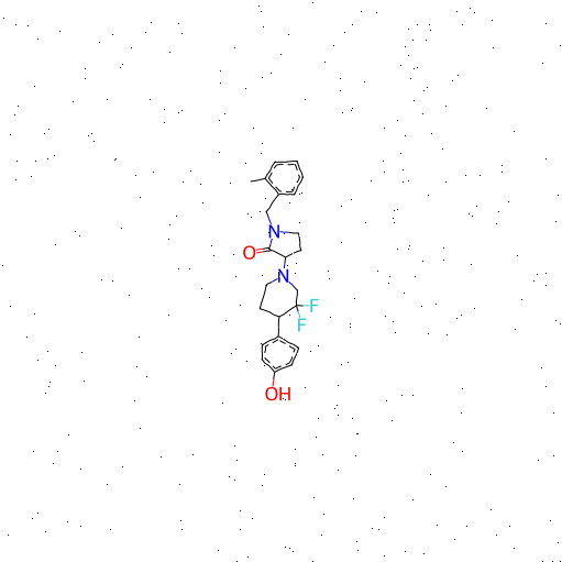 Cc1ccccc1CN1CCC(N2CCC(c3ccc(O)cc3)C(F)(F)C2)C1=O